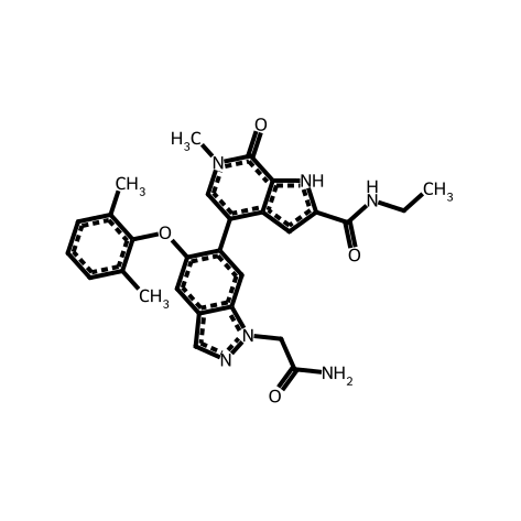 CCNC(=O)c1cc2c(-c3cc4c(cnn4CC(N)=O)cc3Oc3c(C)cccc3C)cn(C)c(=O)c2[nH]1